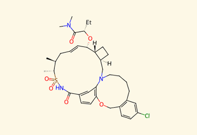 CC[C@H](O[C@H]1/C=C/C[C@H](C)[C@@H](C)S(=O)(=O)NC(=O)c2ccc3c(c2)N(CCCCc2cc(Cl)ccc2CO3)C[C@@H]2CC[C@H]21)C(=O)N(C)C